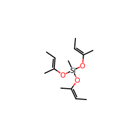 CC=C(C)O[Si](C)(OC(C)=CC)OC(C)=CC